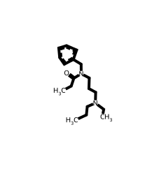 CCCN(CC)CCCN(Cc1ccccc1)C(=O)CC